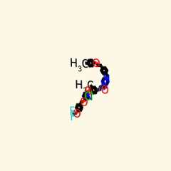 Cc1ccc(OCCc2ccc(CN3CCN(C(=O)/C=C/c4cc(C)c(Oc5ccc(OCc6ccc(OC(F)F)cc6)cn5)c(Cl)c4)CC3)cc2)cc1